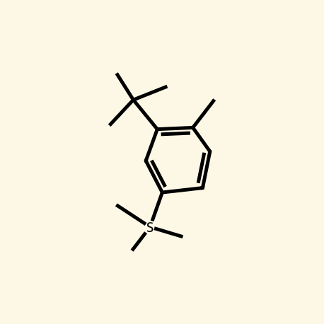 Cc1ccc(S(C)(C)C)cc1C(C)(C)C